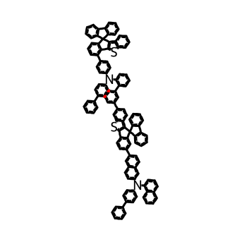 c1ccc(-c2ccc(N(c3ccc(-c4cccc5c4-c4sc6ccccc6c4C54c5ccccc5-c5ccccc54)cc3)c3ccccc3-c3cccc(-c4ccc5c6c(sc5c4)-c4ccc(-c5ccc7cc(N(c8ccc(-c9ccccc9)cc8)c8cccc9ccccc89)ccc7c5)cc4C64c5ccccc5-c5ccccc54)c3)cc2)cc1